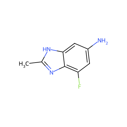 Cc1nc2c(F)cc(N)cc2[nH]1